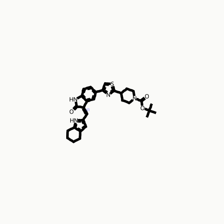 CC(C)(C)OC(=O)N1CCC(c2nc(-c3ccc4c(c3)/C(=C/c3cc5c([nH]3)CCCC5)C(=O)N4)cs2)CC1